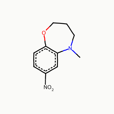 CN1CCCOc2ccc([N+](=O)[O-])cc21